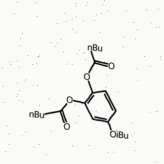 CCCCC(=O)Oc1ccc(OCC(C)C)cc1OC(=O)CCCC